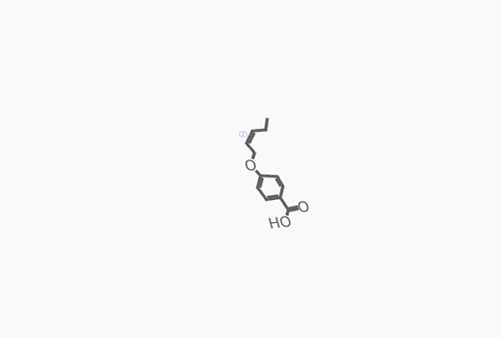 CC/C=C\COc1ccc(C(=O)O)cc1